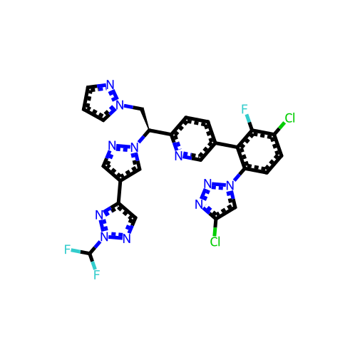 Fc1c(Cl)ccc(-n2cc(Cl)nn2)c1-c1ccc([C@H](Cn2cccn2)n2cc(-c3cnn(C(F)F)n3)cn2)nc1